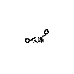 c1ccc(CCn2nnc(Sc3nc(-c4ccccc4)cs3)n2)cc1